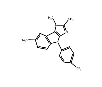 Cc1nc2c(c3cc(C(=O)O)ccc3n2-c2ccc(C(F)(F)F)cc2)n1C